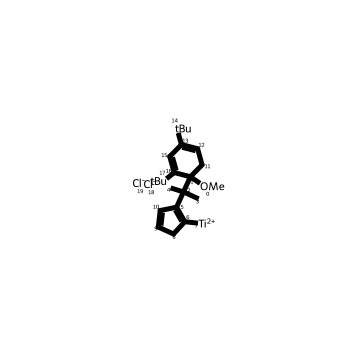 COC1(C(C)(C)C2=[C]([Ti+2])CC=C2)CC=C(C(C)(C)C)C=C1C(C)(C)C.[Cl-].[Cl-]